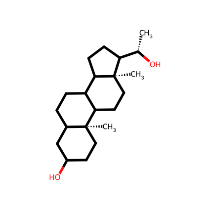 C[C@H](O)C1CCC2C3CCC4CC(O)CC[C@]4(C)C3CC[C@@]21C